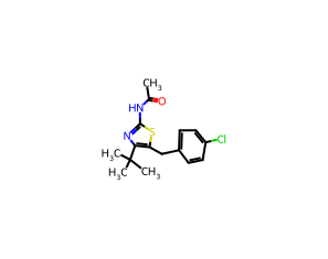 CC(=O)Nc1nc(C(C)(C)C)c(Cc2ccc(Cl)cc2)s1